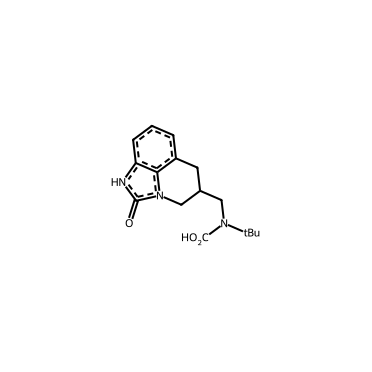 CC(C)(C)N(CC1Cc2cccc3[nH]c(=O)n(c23)C1)C(=O)O